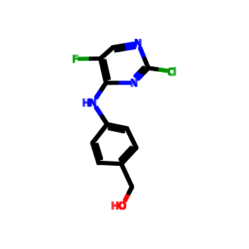 OCc1ccc(Nc2nc(Cl)ncc2F)cc1